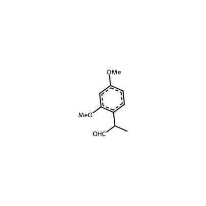 COc1ccc(C(C)[C]=O)c(OC)c1